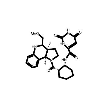 COC[C@@H]1Nc2ccccc2[C@H]2[C@@H]1CCN2C(=O)[C@H]1CCCC[C@H]1NC(=O)c1cc(=O)[nH]c(=O)[nH]1